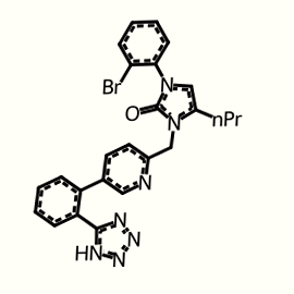 CCCc1cn(-c2ccccc2Br)c(=O)n1Cc1ccc(-c2ccccc2-c2nnn[nH]2)cn1